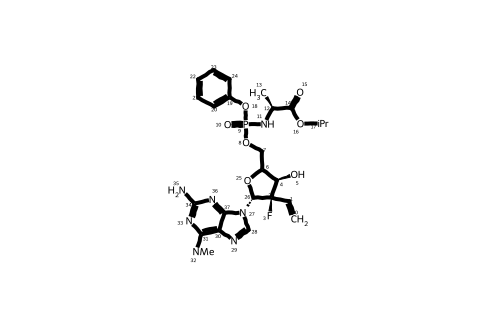 C=C[C@@]1(F)[C@H](O)C(COP(=O)(N[C@@H](C)C(=O)OC(C)C)Oc2ccccc2)O[C@H]1n1cnc2c(NC)nc(N)nc21